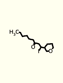 CCCCCCC(=O)CC(I)C1CCCOC1